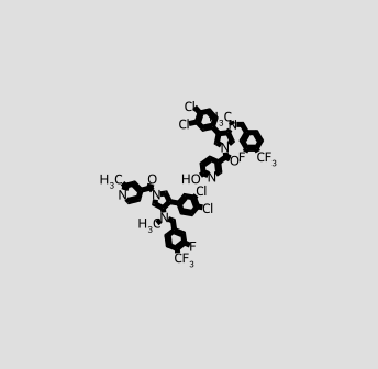 CN(Cc1ccc(C(F)(F)F)c(F)c1)C1CN(C(=O)c2ccc(O)nc2)CC1c1ccc(Cl)c(Cl)c1.Cc1cc(C(=O)N2CC(c3ccc(Cl)c(Cl)c3)C(N(C)Cc3ccc(C(F)(F)F)c(F)c3)C2)ccn1